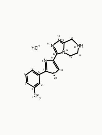 Cl.FC(F)(F)c1cccc(-c2nc(-c3nnc4n3CCNC4)cs2)c1